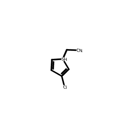 N#CC[SH]1C=CC(Cl)=C1